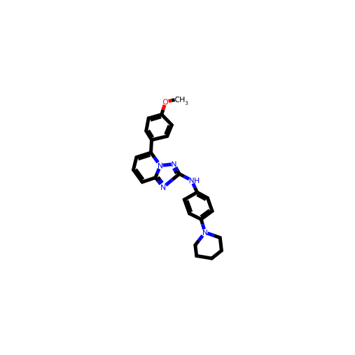 COc1ccc(-c2cccc3nc(Nc4ccc(N5CCCCC5)cc4)nn23)cc1